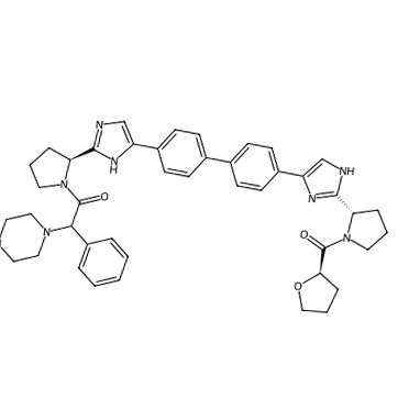 O=C(C(c1ccccc1)N1CCNCC1)N1CCC[C@H]1c1ncc(-c2ccc(-c3ccc(-c4c[nH]c([C@@H]5CCCN5C(=O)[C@H]5CCCO5)n4)cc3)cc2)[nH]1